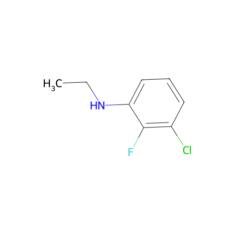 CCNc1cccc(Cl)c1F